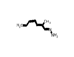 C=C\C=C/C=C(C)/C=N/N